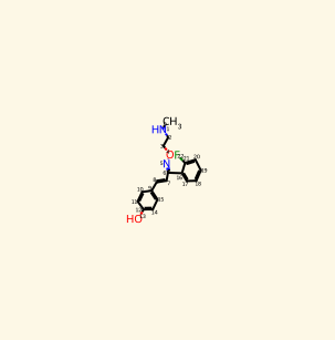 CNCCON=C(C=Cc1ccc(O)cc1)c1ccccc1F